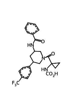 O=C(O)NC1(C(=O)N2CC(NC(=O)c3ccccc3)CC(c3ccc(C(F)(F)F)cc3)C2)CC1